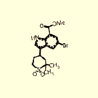 COC(=O)c1cc(Br)cc2c(C3CCS(=O)(=O)C(C)(C)C3)c[nH]c12